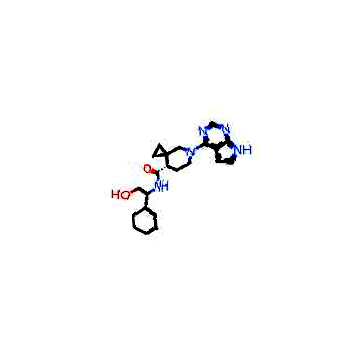 O=C(NC(CO)C1CCCCC1)[C@H]1CCN(c2ncnc3[nH]ccc23)CC12CC2